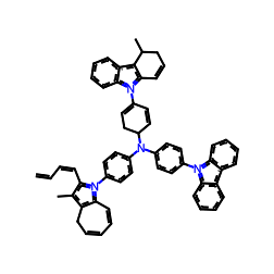 C=C/C=C\c1c(C)c2c(n1-c1ccc(N(c3ccc(-n4c5ccccc5c5ccccc54)cc3)C3C=CC(n4c5c(c6ccccc64)C(C)CC=C5)=CC3)cc1)C=CC=CC2